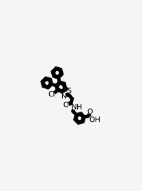 O=C(Cc1nc2c(Cl)c(-c3ccccc3)c(-c3ccccc3)cc2s1)NCc1cccc(C(=O)O)c1